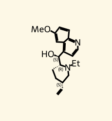 C=C[C@@H]1CC[C@H]([C@@H](O)c2ccnc3ccc(OC)cc23)N(CC)C1